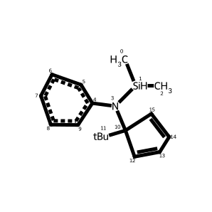 C[SiH](C)N(c1ccccc1)C1(C(C)(C)C)C=CC=C1